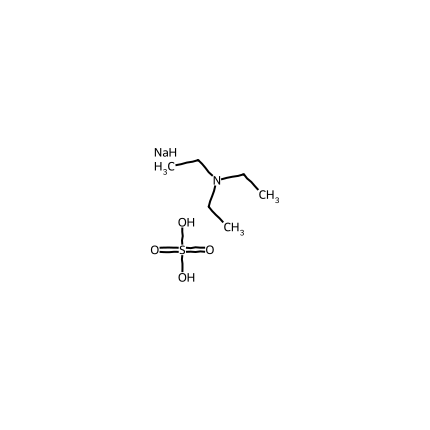 CCN(CC)CC.O=S(=O)(O)O.[NaH]